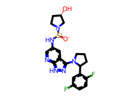 [O-][S+](Nc1cnc2[nH]nc(N3CCCC3c3cc(F)ccc3F)c2c1)N1CC[C@H](O)C1